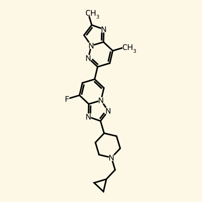 Cc1cn2nc(-c3cc(F)c4nc(C5CCN(CC6CC6)CC5)nn4c3)cc(C)c2n1